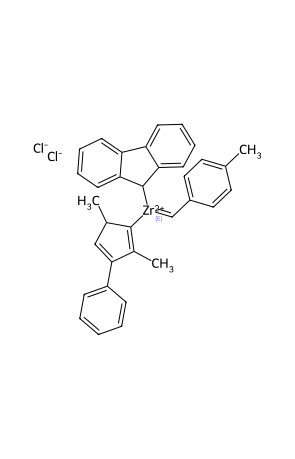 CC1=[C](/[Zr+2](=[CH]/c2ccc(C)cc2)[CH]2c3ccccc3-c3ccccc32)C(C)C=C1c1ccccc1.[Cl-].[Cl-]